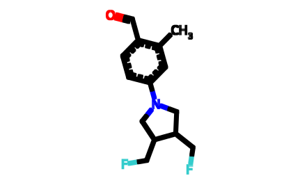 Cc1cc(N2CC(CF)C(CF)C2)ccc1C=O